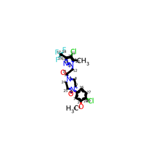 COc1cc([N+]2([O-])CCN(C(=O)Cn3nc(C(F)(F)F)c(Cl)c3C)CC2)ccc1Cl